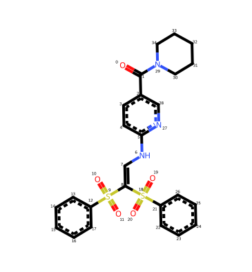 O=C(c1ccc(NC=C(S(=O)(=O)c2ccccc2)S(=O)(=O)c2ccccc2)nc1)N1CCCCC1